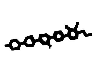 CCCc1ccc(-c2ccc(-c3ccc(C4=CCC(C5CCC(C)CC5)CC4)cc3F)cc2)c(F)c1F